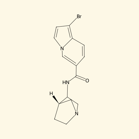 O=C(NC1CN2CC[C@H]1C2)c1ccc2c(Br)ccn2c1